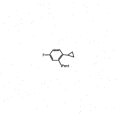 CCCC(C)c1cc(F)ccc1C1CC1